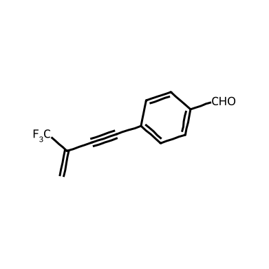 C=C(C#Cc1ccc(C=O)cc1)C(F)(F)F